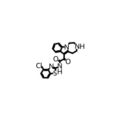 O=C(Nc1nc2c(Cl)cccc2s1)C(=O)c1c2n(c3ccccc13)CCNCC2